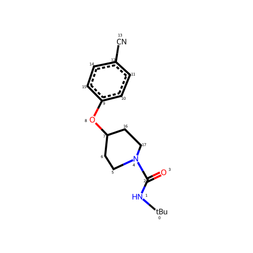 CC(C)(C)NC(=O)N1CCC(Oc2ccc(C#N)cc2)CC1